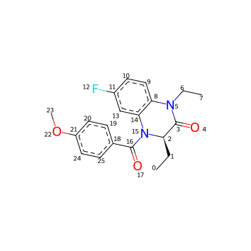 CC[C@@H]1C(=O)N(CC)c2ccc(F)cc2N1C(=O)c1ccc(OC)cc1